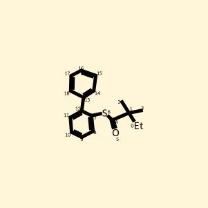 CCC(C)(C)C(=O)Sc1ccccc1-c1ccccc1